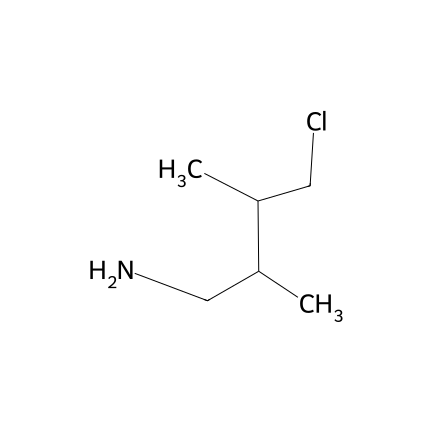 CC(CN)C(C)CCl